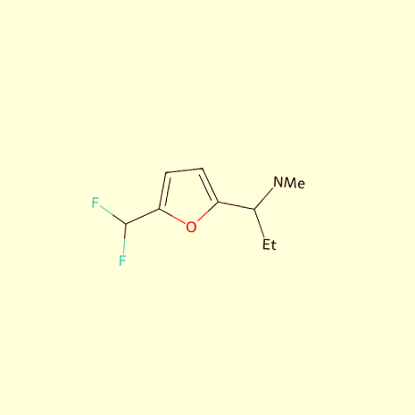 CCC(NC)c1ccc(C(F)F)o1